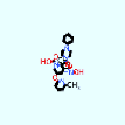 Cc1cccc(O[C@H]2C[C@H](C(=O)NO)[C@@](C)(C(=O)N3CCN(c4ccccc4)CC3)N(C(=O)O)C2)n1